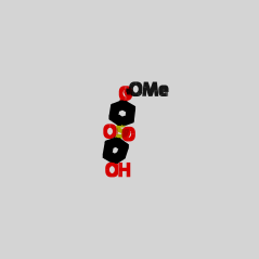 COOc1ccc(S(=O)(=O)c2ccc(O)cc2)cc1